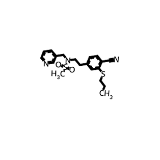 CCCSc1cc(CCN(Cc2cccnc2)S(C)(=O)=O)ccc1C#N